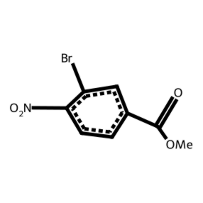 COC(=O)c1ccc([N+](=O)[O-])c(Br)c1